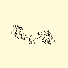 COC(C=CC[PH][Ni]([Cl])([Cl])[PH]CC=CC(OC)(C(C)(C)C)C(C)(C)C)(C(C)(C)C)C(C)(C)C